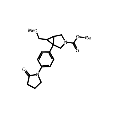 COCC1C2CN(C(=O)OC(C)(C)C)CC12c1ccc(N2CCCC2=O)cc1